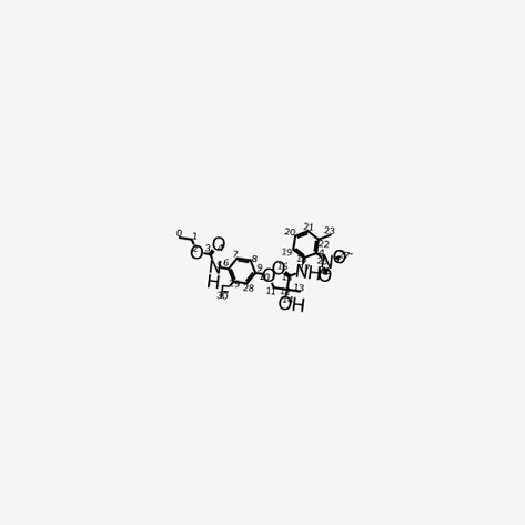 CCOC(=O)Nc1ccc(OCC(C)(O)C(=O)Nc2cccc(C)c2[N+](=O)[O-])cc1F